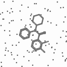 Cc1nccc(C(=O)N(c2ccccc2)C2CCCCC2)c1C